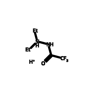 CC[SiH](CC)NC(=O)C(F)(F)F.[H+]